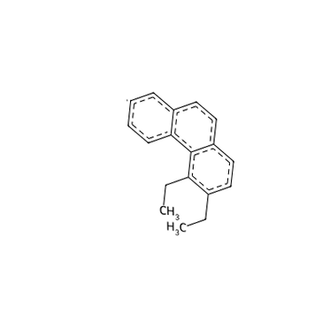 CCc1ccc2ccc3c[c]ccc3c2c1CC